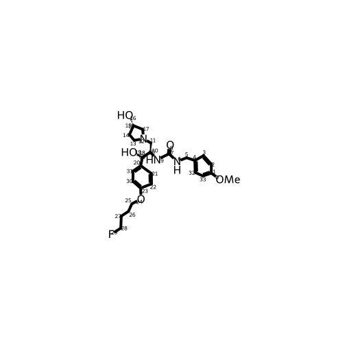 COc1ccc(CNC(=O)N[C@H](CN2CC[C@H](O)C2)[C@H](O)c2ccc(OCCCCF)cc2)cc1